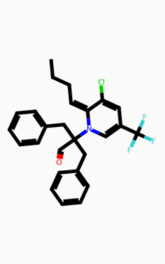 CCC/C=C1\C(Cl)=CC(C(F)(F)F)=CN1C(C=O)(Cc1ccccc1)Cc1ccccc1